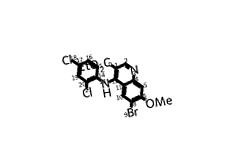 CCOC(=O)c1cnc2cc(OC)c(Br)cc2c1Nc1ccc(Cl)cc1Cl